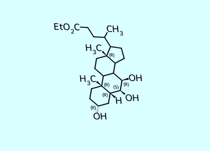 CCOC(=O)CCC(C)C1CCC2C3C(CC[C@]12C)[C@@]1(C)CC[C@@H](O)C[C@H]1[C@H](O)[C@@H]3O